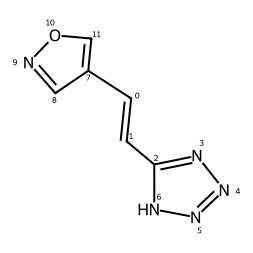 C(=C\c1nnn[nH]1)/c1cnoc1